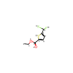 CCOC(=O)c1ccc(C(F)F)s1